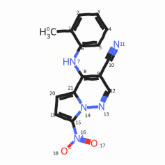 Cc1ccccc1Nc1c(C#N)cnn2c([N+](=O)[O-])ccc12